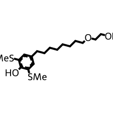 CSc1cc(CCCCCCCCOCCO)cc(SC)c1O